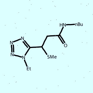 CCCCNC(=O)CC(SC)c1nnnn1CC